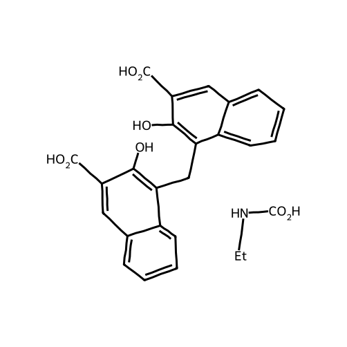 CCNC(=O)O.O=C(O)c1cc2ccccc2c(Cc2c(O)c(C(=O)O)cc3ccccc23)c1O